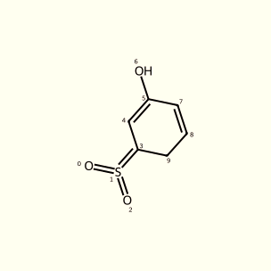 O=S(=O)=C1C=C(O)C=CC1